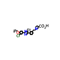 CCc1c(CCN2CCC(C(=O)O)C2)cccc1-c1cnc(-c2ccc(OC(C)C)c(Cl)c2)nc1